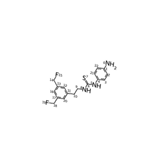 Nc1ccc(NC(=S)NCCc2cc(CF)cc(CF)c2)cc1